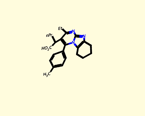 CCCC(C(=O)O)c1c(CC)nc2nc3c(n2c1-c1ccc(C)cc1)CCCC3